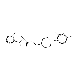 Cn1ccnc1[C@H](O)[C@@](C)(O)C(=O)NCC1CCN(c2ccc(F)cc2N)CC1